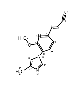 COc1nc(C=CC#N)ccc1-n1cnc(C)c1